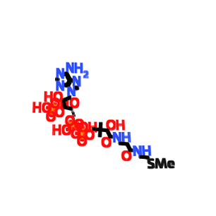 CSCCNC(=O)CCNC(=O)[C@H](O)C(C)(C)COP(=O)(O)OP(=O)(O)OC[C@H]1O[C@@H](n2cnc3c(N)ncnc32)C(O)C1OP(=O)(O)O